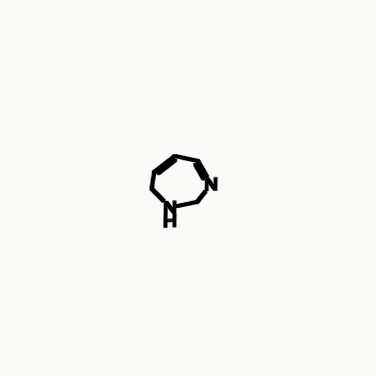 C1=CCNCN=C1